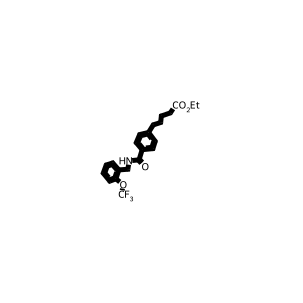 CCOC(=O)CCCCc1ccc(C(=O)NCc2ccccc2OC(F)(F)F)cc1